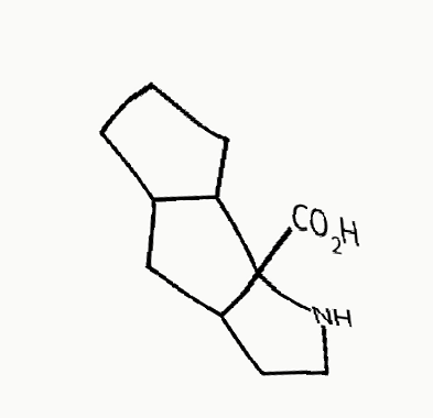 O=C(O)C12NCCC1CC1CCCC12